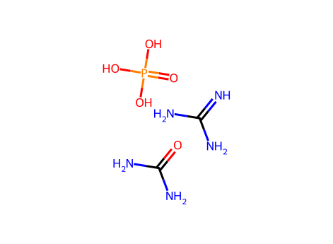 N=C(N)N.NC(N)=O.O=P(O)(O)O